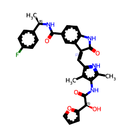 Cc1[nH]c(/C=C2\C(=O)Nc3ccc(C(=O)N[C@H](C)c4ccc(F)cc4)cc32)c(C)c1NC(=O)[C@@H](O)c1ccco1